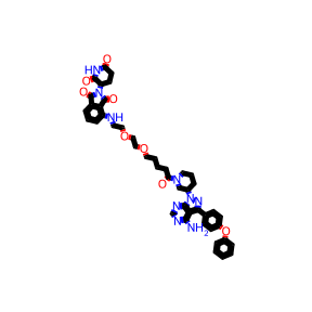 Nc1ncnc2c1c(-c1ccc(Oc3ccccc3)cc1)nn2C1CCCN(C(=O)CCCCOCCOCCNc2cccc3c2C(=O)N(C2CCC(=O)NC2=O)C3=O)C1